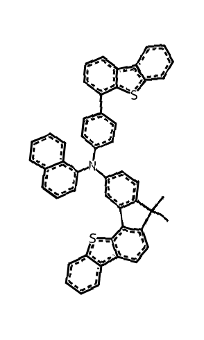 CC1(C)c2ccc(N(c3ccc(-c4cccc5c4sc4ccccc45)cc3)c3cccc4ccccc34)cc2-c2c1ccc1c2sc2ccccc21